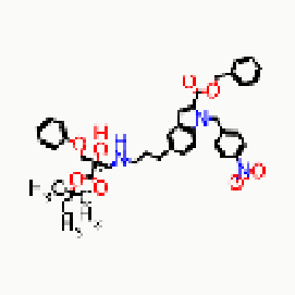 CC(C)(C)OC(=O)[C@](O)(CNCCCc1ccc2c(c1)cc(C(=O)OCc1ccccc1)n2Cc1ccc([N+](=O)[O-])cc1)COc1ccccc1